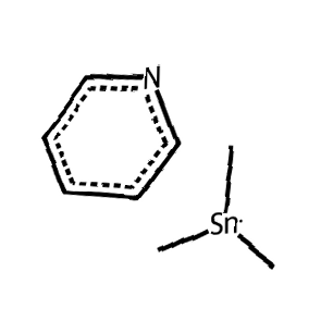 [CH3][Sn]([CH3])[CH3].c1ccncc1